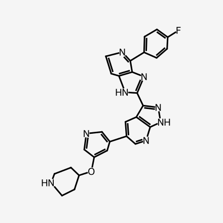 Fc1ccc(-c2nccc3[nH]c(-c4n[nH]c5ncc(-c6cncc(OC7CCNCC7)c6)cc45)nc23)cc1